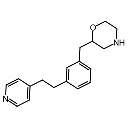 c1cc(CCc2ccncc2)cc(CC2CNCCO2)c1